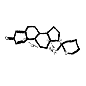 CC1([C@H]2CCC3C4CCC5=CC(=O)C=C[C@]5(C)C4CC[C@@]32C)CCCCO1